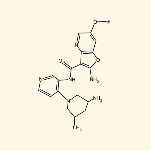 CC1CC(N)CN(c2ccncc2NC(=O)c2c(N)oc3cc(OC(C)C)cnc23)C1